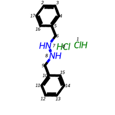 Cl.Cl.c1ccc(CNNCc2ccccc2)cc1